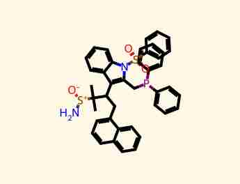 CC(C)(C(Cc1cccc2ccccc12)c1c(CP(c2ccccc2)c2ccccc2)n(S(=O)(=O)c2ccccc2)c2ccccc12)[S+](N)[O-]